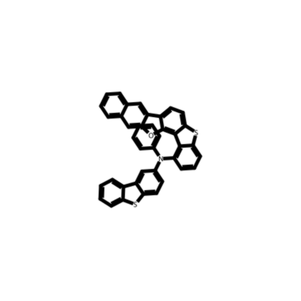 c1ccc(N(c2ccc3sc4ccccc4c3c2)c2cccc3sc4ccc5c6cc7ccccc7cc6oc5c4c23)cc1